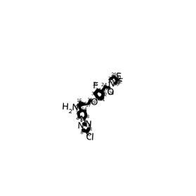 N[C@]1(C2CCN(c3ncc(Cl)cn3)CC2)C[C@H]1CCOc1ccc(CC(=O)N2CCC(F)(F)C2)c(F)c1